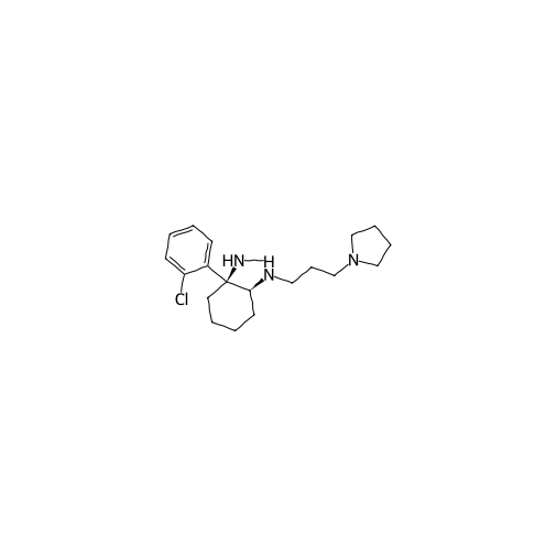 CN[C@]1(c2ccccc2Cl)CCCC[C@@H]1NCCCN1CCCC1